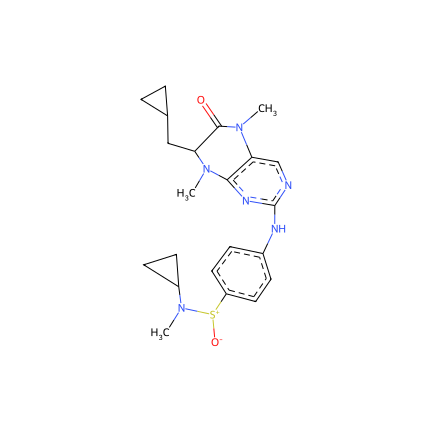 CN1C(=O)C(CC2CC2)N(C)c2nc(Nc3ccc([S+]([O-])N(C)C4CC4)cc3)ncc21